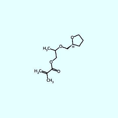 C=C(C)C(=O)OCC(C)OC[C@@H]1CCCO1